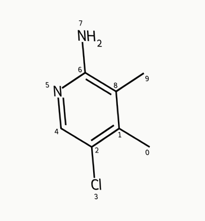 Cc1c(Cl)cnc(N)c1C